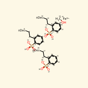 CCCCCCCCCCCCc1ccccc1S(=O)(=O)[O-].CCCCCCCCCCCCc1ccccc1S(=O)(=O)[O-].CCCCCCCCCCCCc1ccccc1S(=O)(=O)[O-].CO.[Fe+3]